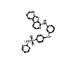 O=S(=O)(Nc1ncccn1)c1ccc(Nc2cccc(Nc3ncnc4c3sc3ncccc34)c2)cc1